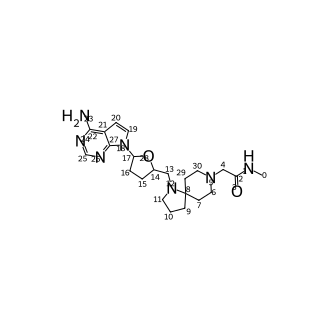 CNC(=O)CN1CCC2(CCCN2CC2CCC(n3ccc4c(N)ncnc43)O2)CC1